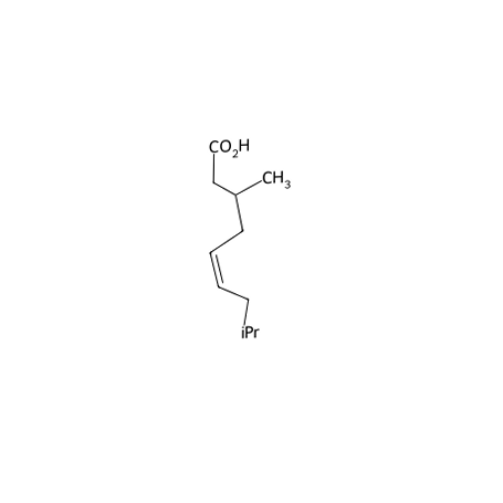 CC(C)C/C=C\CC(C)CC(=O)O